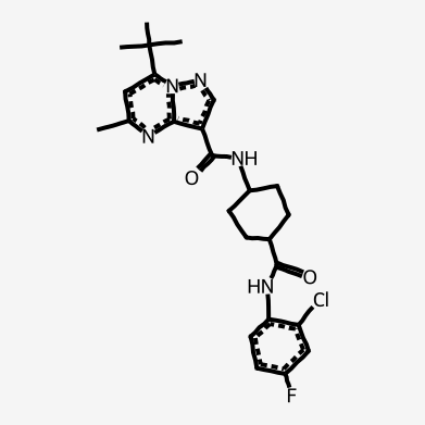 Cc1cc(C(C)(C)C)n2ncc(C(=O)NC3CCC(C(=O)Nc4ccc(F)cc4Cl)CC3)c2n1